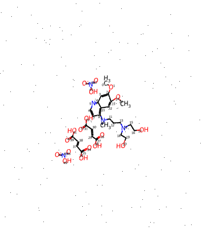 COc1cc2nccc(N(C)CCCN(CCO)CCO)c2cc1OC.O=C(O)/C=C/C(=O)O.O=C(O)/C=C/C(=O)O.O=[N+]([O-])O.O=[N+]([O-])O